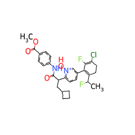 COC(=O)c1ccc(NC(=O)C(CC2CCC2)c2ccc(C3=C(C(C)F)CCC(Cl)=C3F)c[n+]2O)cc1